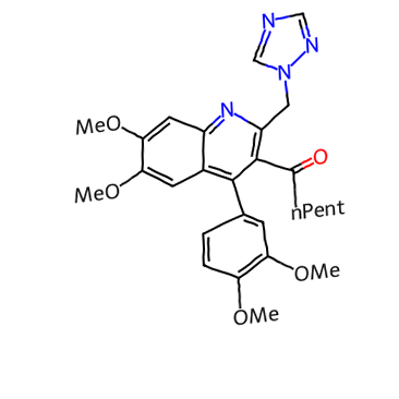 CCCCCC(=O)c1c(Cn2cncn2)nc2cc(OC)c(OC)cc2c1-c1ccc(OC)c(OC)c1